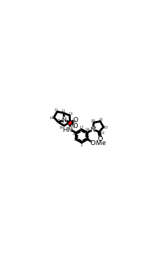 COc1ccc(NC(=O)N2C3CCC2CC(=O)C3)cc1N1CCCC1=O